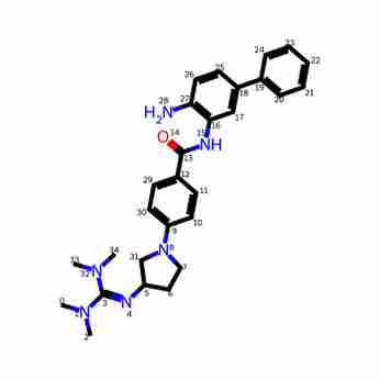 CN(C)C(=NC1CCN(c2ccc(C(=O)Nc3cc(-c4ccccc4)ccc3N)cc2)C1)N(C)C